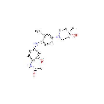 Cc1cc(N2CCC(C)(O)CC2)ccc1Nc1ccc2c(c1)OCC(=O)N2